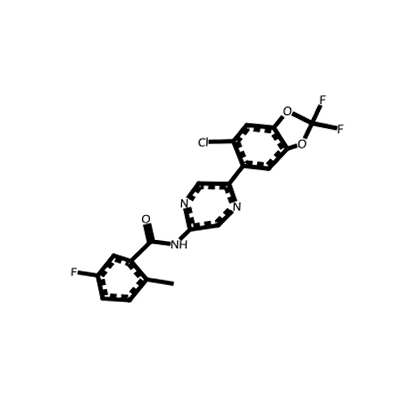 Cc1ccc(F)cc1C(=O)Nc1cnc(-c2cc3c(cc2Cl)OC(F)(F)O3)cn1